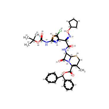 CC1=C(C(=O)OC(c2ccccc2)c2ccccc2)N2C(=O)C(NC(=O)/C(=N/OC3CCCC3)c3nc(NC(=O)OC(C)(C)C)sc3Cl)C2SC1